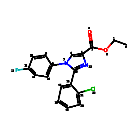 CCOC(=O)c1cn(-c2ccc(F)cc2)c(-c2ccccc2Cl)n1